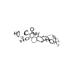 Cn1c(CN2CCC2)cc2cc3c(cc21)CCCc1c-3[nH]c(=O)c(C(=O)O)c1O